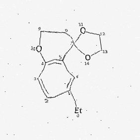 CCc1ccc2c(c1)C1(CCO2)OCCO1